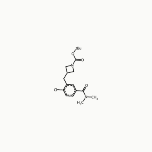 CN(C)C(=O)c1ccc(Cl)c(CC2CN(C(=O)OC(C)(C)C)C2)c1